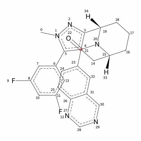 Cn1nc2c(c1-c1cc(F)cc(F)c1)C[C@H]1CCC[C@@H]2N1C(=O)c1ccc2ncncc2c1